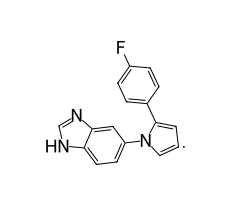 Fc1ccc(-c2c[c]cn2-c2ccc3[nH]cnc3c2)cc1